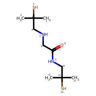 CC(C)(S)CNCC(=O)NCC(C)(C)S